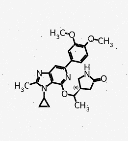 COc1ccc(-c2cc3nc(C)n(C4CC4)c3c(OC(C)[C@H]3CNC(=O)C3)n2)cc1OC